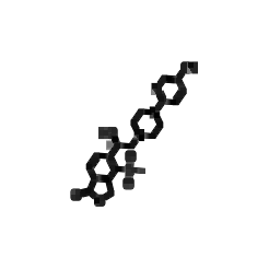 CS(=O)(=O)c1c([C@@H](O)CN2CCN(c3ccc(C#N)cn3)CC2)ccc2c1COC2=O